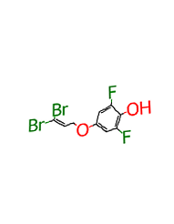 Oc1c(F)cc(OCC=C(Br)Br)cc1F